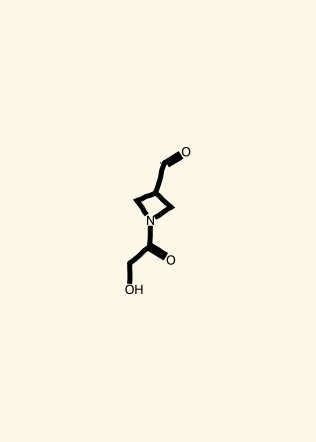 O=[C]C1CN(C(=O)CO)C1